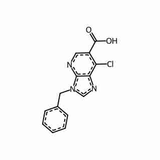 O=C(O)c1cnc2c(ncn2Cc2ccccc2)c1Cl